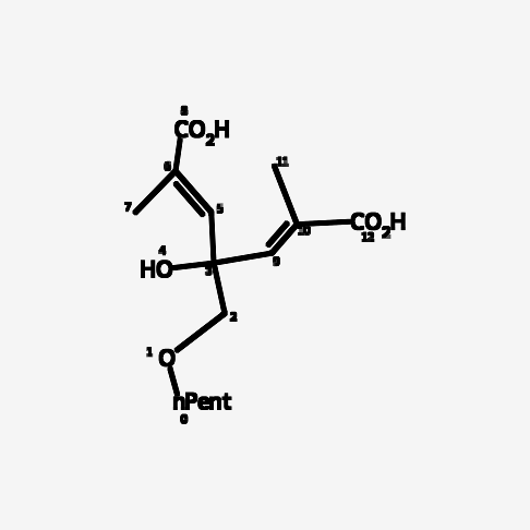 CCCCCOCC(O)(C=C(C)C(=O)O)C=C(C)C(=O)O